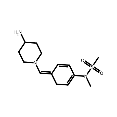 CN(C1=CCC(=CN2CCC(N)CC2)C=C1)S(C)(=O)=O